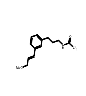 COC/C=C/c1cccc(CCCNC(=O)C(F)(F)F)c1